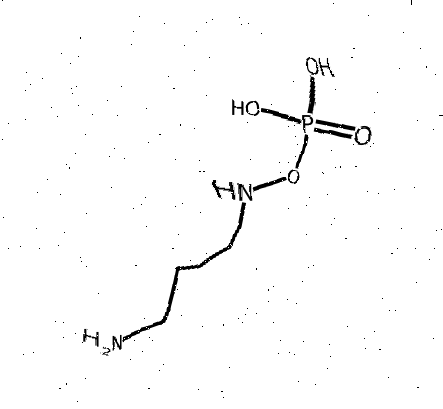 NCCCNOP(=O)(O)O